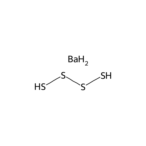 SSSS.[BaH2]